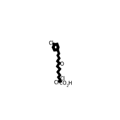 O=C(CCCCCC(Cl)(Cl)C(=O)O)CCCCc1ccc(Cl)cc1